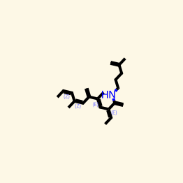 C=C(C)CCCNC(=C)C(/C=C(\C)C(=C)/C=C(C)\C=C/C)=C/C